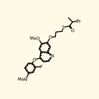 CNc1ccc(Oc2ccnc3cc(OCCCSC(=O)C(C)C(C)C)c(OC)cc23)c(F)c1